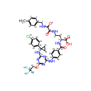 Cc1ccc(CNC(=O)C(=O)NCC[C@H](NC(=O)c2ccc(Nc3nc(NC4(c5ccc(Cl)cc5)CC4)nc(OCC(F)(F)F)n3)cc2)C(=O)O)cc1